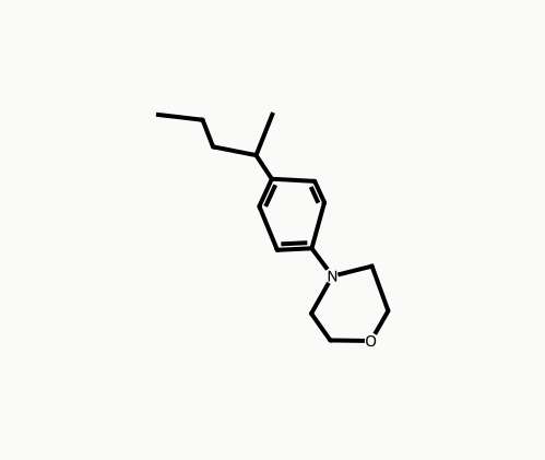 CCCC(C)c1ccc(N2CCOCC2)cc1